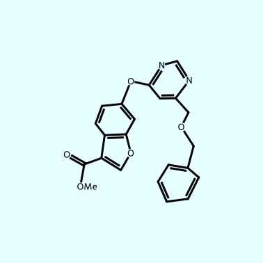 COC(=O)c1coc2cc(Oc3cc(COCc4ccccc4)ncn3)ccc12